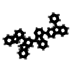 C1=C(c2cccc3c2c2ccccc2n3-c2cc(-c3cccc4c3sc3ccccc34)c3sc4ccccc4c3c2)CC2C(=C1)c1ccccc1N2c1ccccc1